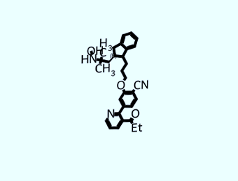 CCC(=O)c1cccnc1-c1ccc(C#N)c(OCCCC2c3ccccc3C[C@@H]2CC(C)(C)NO)c1